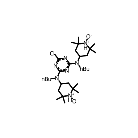 CCCCN(c1nc(Cl)nc(N(CCCC)C2CC(C)(C)[NH+]([O-])C(C)(C)C2)n1)C1CC(C)(C)[NH+]([O-])C(C)(C)C1